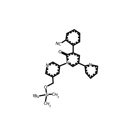 CC(C)(C)[Si](C)(C)OCc1cncc(-n2cc(-c3ccccn3)cc(-c3ccccc3C#N)c2=O)c1